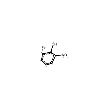 O=[N+]([O-])c1ccccc1O.[Fe]